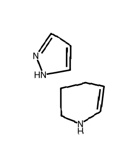 C1=CNCCC1.c1cn[nH]c1